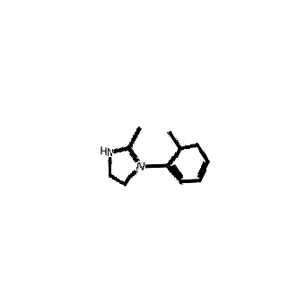 CC1CC=CC=C1N1CCNC1C